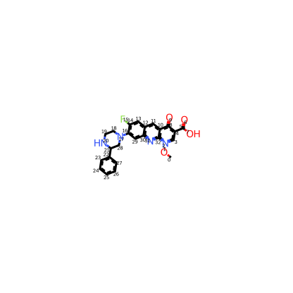 COn1cc(C(=O)O)c(=O)c2cc3cc(F)c(N4CCNC(c5ccccc5)C4)cc3nc21